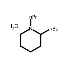 CCCCC1CCCCN1CCC.O